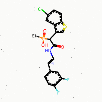 CCP(=O)(O)C(C(=O)N/C=C/c1ccc(F)c(F)c1)c1csc2ccc(Cl)cc12